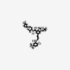 COc1ccc(S(C)(=O)=O)cc1NCC#Cc1cc(C(=O)NC2CCN(C3CCC(F)(F)C3)CC2C)c2ncn(CC(F)(F)F)c2c1